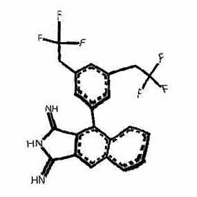 N=C1NC(=N)c2c1cc1ccccc1c2-c1cc(CC(F)(F)F)cc(CC(F)(F)F)c1